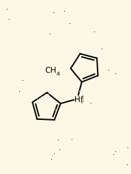 C.C1=CC[C]([Hf][C]2=CC=CC2)=C1